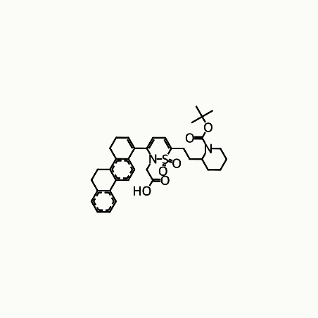 CC(C)(C)OC(=O)N1CCCCC1CCC1=CC=C(C2=CCCc3c2ccc2c3CCc3ccccc3-2)N(CC(=O)O)S1(=O)=O